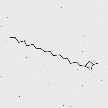 CCC[CH]CCCCCCCCCCCCCC1CC(C)O1